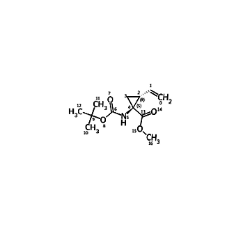 C=C[C@H]1C[C@@]1(NC(=O)OC(C)(C)C)C(=O)OC